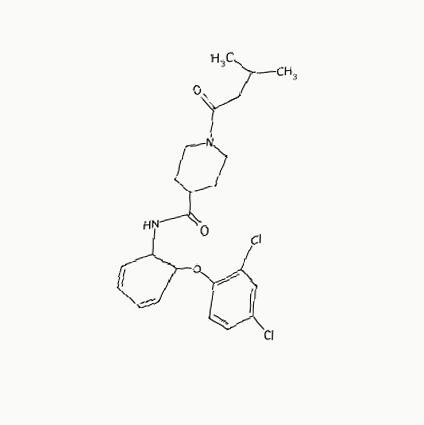 CC(C)CC(=O)N1CCC(C(=O)NC2C=CC=CC2Oc2ccc(Cl)cc2Cl)CC1